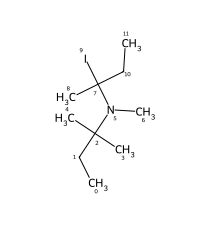 CCC(C)(C)N(C)C(C)(I)CC